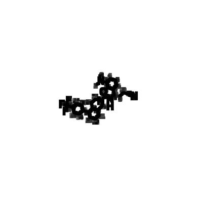 CN(C)c1cccc([C@H](CCC#N)NC(=O)N2CCc3c(cccc3-c3ccc(C(F)(F)F)cc3)C2)c1